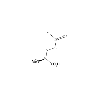 CN[C@@H](CCC(=O)I)C(=O)O